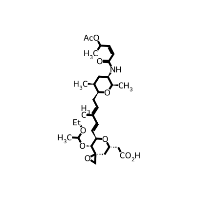 CCOC(C)O[C@@H]1[C@@H](/C=C/C(C)=C/C[C@@H]2O[C@H](C)[C@H](NC(=O)/C=C\C(C)OC(C)=O)C[C@@H]2C)O[C@H](CC(=O)O)C[C@@]12CO2